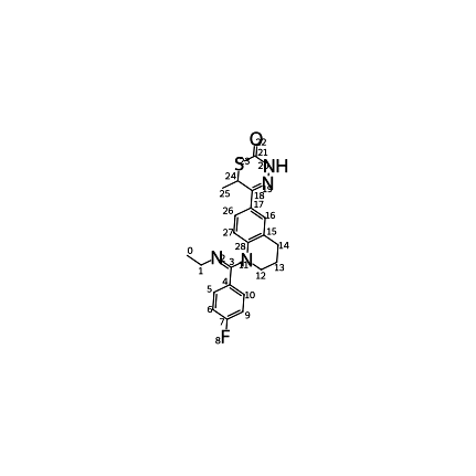 CCN=C(c1ccc(F)cc1)N1CCCc2cc(C3=NNC(=O)SC3C)ccc21